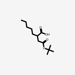 CCCCCC(CC(=O)OC(C)(C)C)C(=O)O